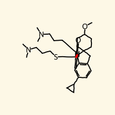 COC1CCC2(CC1)Cc1ccc(C3CC3)cc1C21N=C(SCCCN(C)C)N(CCCN(C)C)C1=O